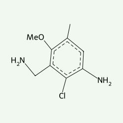 COc1c(C)cc(N)c(Cl)c1CN